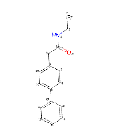 CC(C)CNC(=O)Cc1ccc(-c2ccccc2)cc1